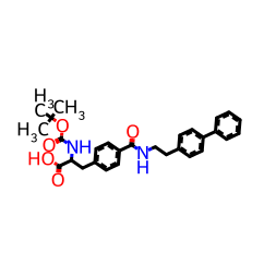 CC(C)(C)OC(=O)NC(Cc1ccc(C(=O)NCCc2ccc(-c3ccccc3)cc2)cc1)C(=O)O